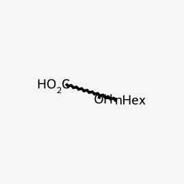 CCCCCCC=CCC=CCC(O)CCCCCCCCCCCCC(=O)O